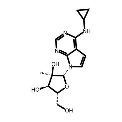 C[C@@]1(O)[C@H](O)[C@@H](CO)O[C@H]1n1ccc2c(NC3CC3)ncnc21